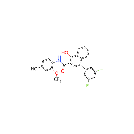 N#Cc1ccc(NC(=O)c2cc(-c3cc(F)cc(F)c3)c3ccccc3c2O)c(OC(F)(F)F)c1